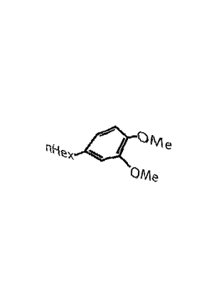 CCCCCCc1ccc(OC)c(OC)c1